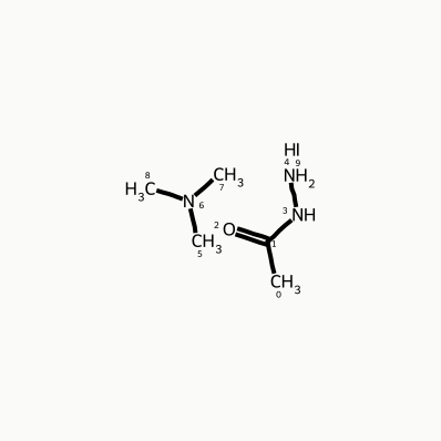 CC(=O)NN.CN(C)C.I